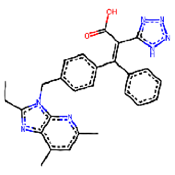 CCc1nc2c(C)cc(C)nc2n1Cc1ccc(C(=C(C(=O)O)c2nnn[nH]2)c2ccccc2)cc1